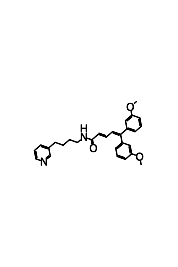 COc1cccc(C(=C/C=C/C(=O)NCCCCc2cccnc2)c2cccc(OC)c2)c1